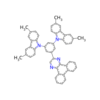 Cc1ccc2c(c1)c1cc(C)ccc1n2-c1cc(-c2cnc3c4ccccc4c4ccccc4c3n2)cc(-n2c3ccc(C)cc3c3cc(C)ccc32)c1